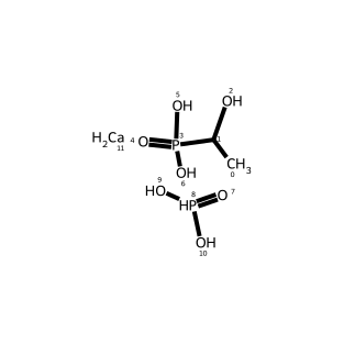 CC(O)P(=O)(O)O.O=[PH](O)O.[CaH2]